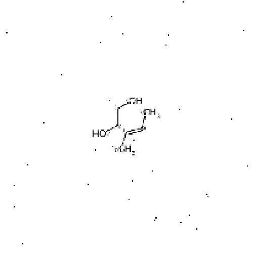 C/C=C/C.OCCO